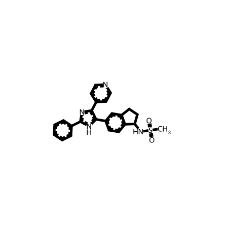 CS(=O)(=O)NC1CCc2cc(-c3[nH]c(-c4ccccc4)nc3-c3ccncc3)ccc21